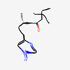 C[C@@H](Cc1c[nH]cn1)C(=O)C(C)(C)C